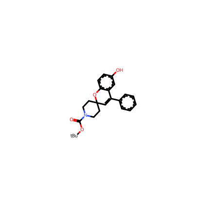 CC(C)(C)OC(=O)N1CCC2(C=C(c3ccccc3)c3cc(O)ccc3O2)CC1